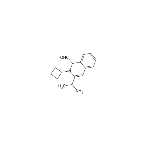 CC(N)C1=Cc2ccccc2C(C=O)N1C1CCC1